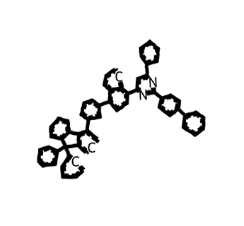 c1ccc(-c2ccc(-c3nc(-c4ccccc4)cc(-c4ccc(-c5cccc(-c6cccc7c6-c6ccccc6C7(c6ccccc6)c6ccccc6)c5)c5ccccc45)n3)cc2)cc1